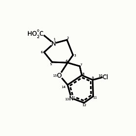 O=C(O)N1CCC2(CC1)Cc1c(Cl)ccnc1O2